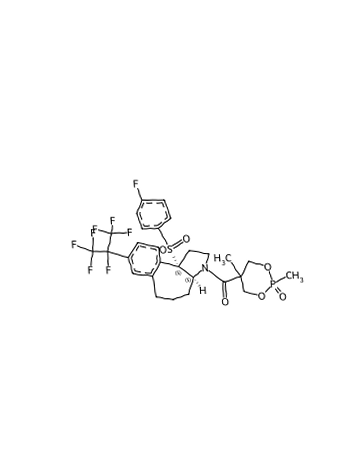 CC1(C(=O)N2CC[C@]3(S(=O)(=O)c4ccc(F)cc4)c4ccc(C(F)(C(F)(F)F)C(F)(F)F)cc4CCC[C@H]23)COP(C)(=O)OC1